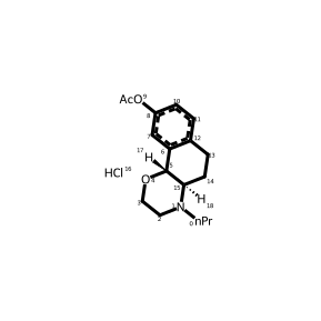 CCCN1CCO[C@@H]2c3cc(OC(C)=O)ccc3CC[C@H]21.Cl